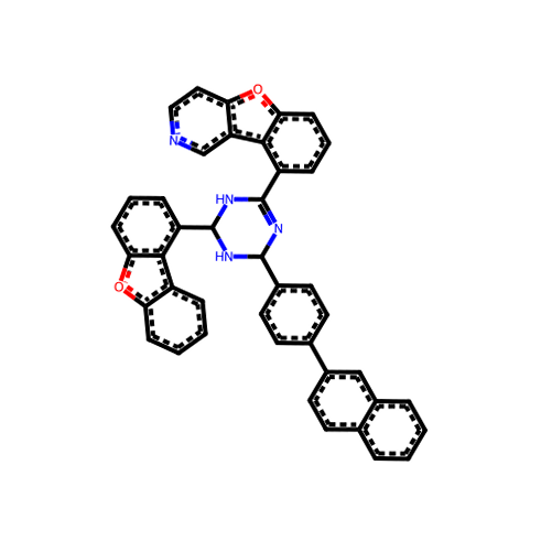 c1ccc2cc(-c3ccc(C4N=C(c5cccc6oc7ccncc7c56)NC(c5cccc6oc7ccccc7c56)N4)cc3)ccc2c1